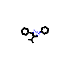 CC(C)c1cn(-c2ccccc2)nc1-c1ccccc1